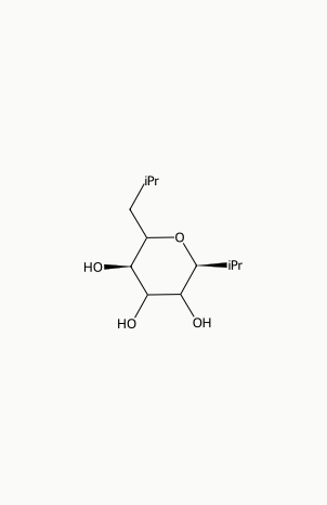 CC(C)CC1O[C@@H](C(C)C)C(O)C(O)[C@H]1O